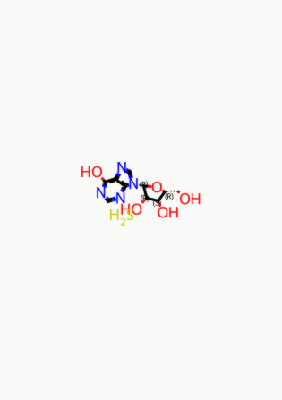 OC[C@H]1O[C@@H](n2cnc3c(O)ncnc32)[C@H](O)[C@@H]1O.S